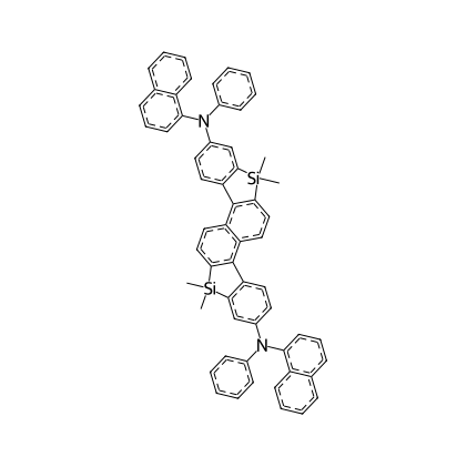 C[Si]1(C)c2cc(N(c3ccccc3)c3cccc4ccccc34)ccc2-c2c1ccc1c3c(ccc21)[Si](C)(C)c1cc(N(c2ccccc2)c2cccc4ccccc24)ccc1-3